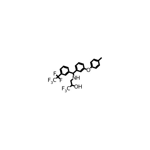 Cc1ccc(Oc2cccc(C(NCC(O)C(F)(F)F)c3cccc(C(F)(F)C(F)(F)F)c3)c2)cc1